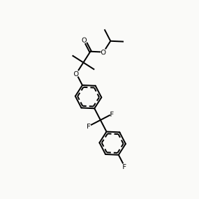 CC(C)OC(=O)C(C)(C)Oc1ccc(C(F)(F)c2ccc(F)cc2)cc1